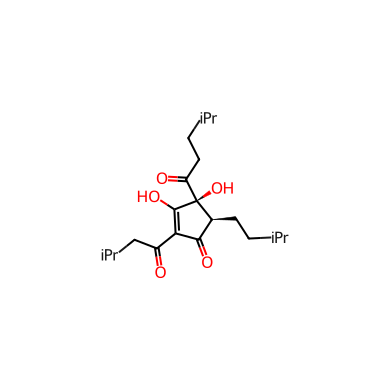 CC(C)CCC(=O)[C@@]1(O)C(O)=C(C(=O)CC(C)C)C(=O)[C@@H]1CCC(C)C